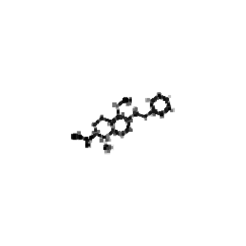 CC(C)(C)N[C@H]1CCc2c(ccc(OCc3ccccc3)c2CO)[C@@H]1O